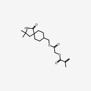 C=C(C)C(=O)OCC(=O)OCC1CCC2(CC1)CC(C)(C)NC2=O